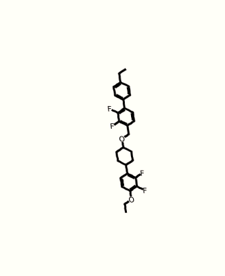 CCOc1ccc(C2CCC(OCc3ccc(-c4ccc(CC)cc4)c(F)c3F)CC2)c(F)c1F